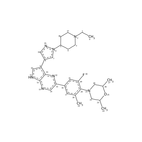 CCN1CCC(n2cc(-c3c[nH]c4ncc(-c5cc(C)c(N6CC(C)OC(C)C6)c(F)c5)nc34)cn2)CC1